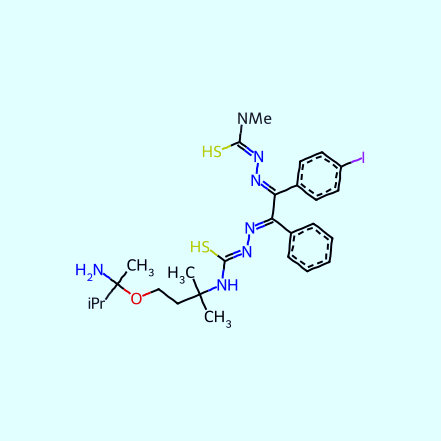 CN/C(S)=N/N=C(/C(=N/N=C(\S)NC(C)(C)CCOC(C)(N)C(C)C)c1ccccc1)c1ccc(I)cc1